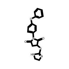 O=C1CC(SC2=NCCN2)C(=O)N1c1ccc(Oc2ccccc2)cc1